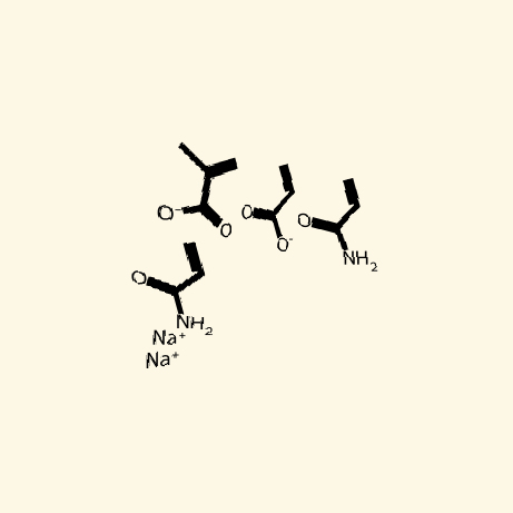 C=C(C)C(=O)[O-].C=CC(=O)[O-].C=CC(N)=O.C=CC(N)=O.[Na+].[Na+]